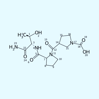 C[C@@H](O)[C@H](NC(=O)C1CCCN1C(=O)C1CCN(C(=O)O)C1)C(N)=O